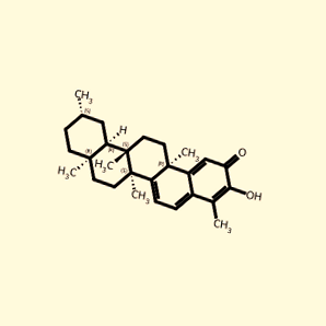 CC1=C(O)C(=O)C=C2C1=CC=C1[C@@]2(C)CC[C@@]2(C)[C@@H]3C[C@@H](C)CC[C@]3(C)CC[C@]12C